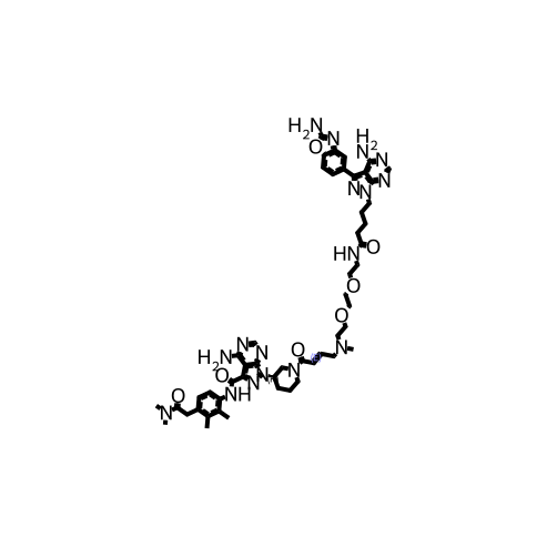 Cc1c(CC(=O)N(C)C)ccc(NC(=O)c2nn([C@@H]3CCCN(C(=O)/C=C/CN(C)CCOCCOCCNC(=O)CCCCn4nc(-c5ccc6oc(N)nc6c5)c5c(N)ncnc54)C3)c3ncnc(N)c23)c1C